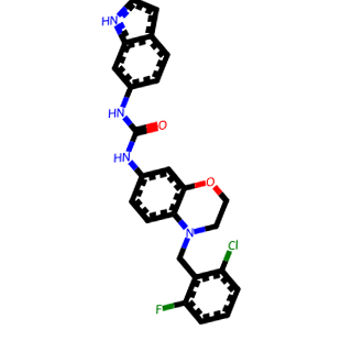 O=C(Nc1ccc2c(c1)OCCN2Cc1c(F)cccc1Cl)Nc1ccc2cc[nH]c2c1